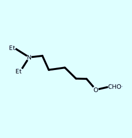 CCN(CC)CCCCCO[C]=O